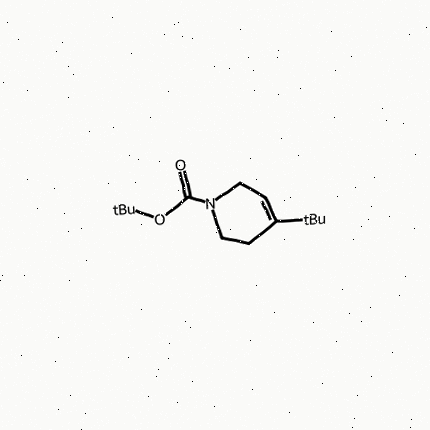 CC(C)(C)OC(=O)N1CC=C(C(C)(C)C)CC1